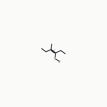 CC/C(C)=C(/CC)SF